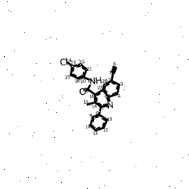 C#Cc1ccc2nc(-c3ccccc3)c(C)c(C(=O)Nc3ccc(Cl)cc3)c2c1